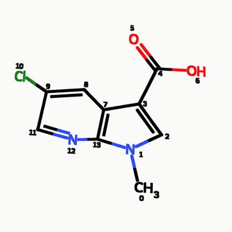 Cn1cc(C(=O)O)c2cc(Cl)cnc21